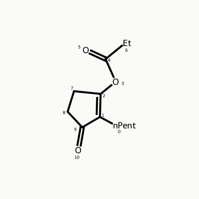 CCCCCC1=C(OC(=O)CC)CCC1=O